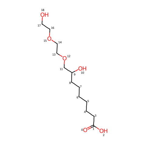 O=C(O)CCCCCCC(O)COCCOCCO